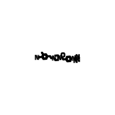 Cc1cc(CCN2CCN(C(=O)Cc3ccc(-n4cnnn4)cc3)CC2)ccc1C#N